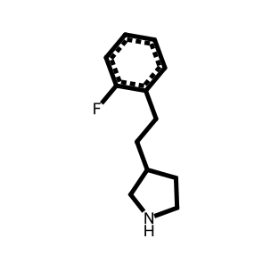 Fc1ccccc1CCC1CCNC1